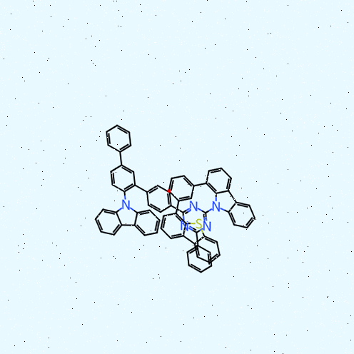 c1ccc(-c2ccc(-n3c4ccccc4c4ccccc43)c(-c3ccc(-c4nc(-c5ccccc5)nc(-n5c6ccccc6c6cccc(-c7cccc(-c8cccc9c8sc8ccccc89)c7)c65)n4)cc3)c2)cc1